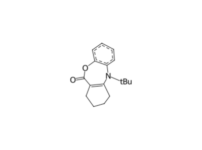 CC(C)(C)N1C2=C(CCCC2)C(=O)Oc2ccccc21